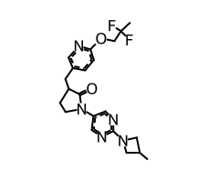 CC1CN(c2ncc(N3CCC(Cc4ccc(OCC(C)(F)F)nc4)C3=O)cn2)C1